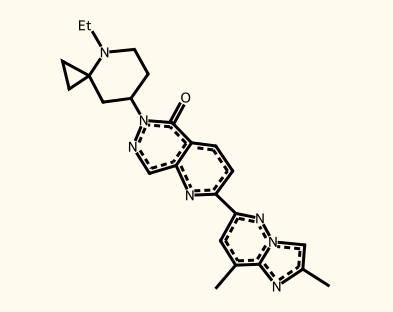 CCN1CCC(n2ncc3nc(-c4cc(C)c5nc(C)cn5n4)ccc3c2=O)CC12CC2